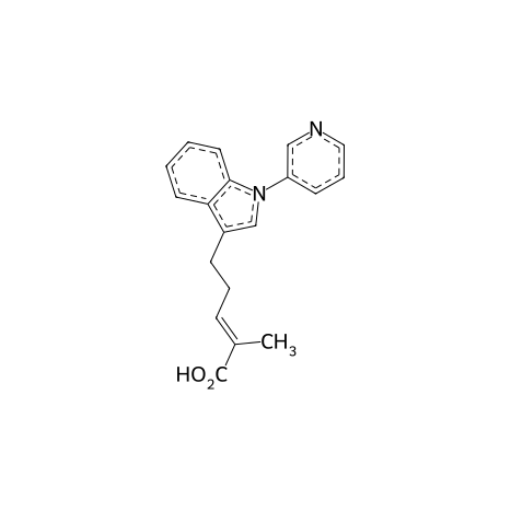 CC(=CCCc1cn(-c2cccnc2)c2ccccc12)C(=O)O